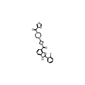 O=C(c1cscn1)N1CCN(C2CN(C(=O)c3cccc4[nH]c(-c5ccccc5F)nc34)C2)CC1